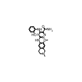 COc1cc2c(cc1Nc1nnc(C(N)=O)c(Nc3ccccc3O)n1)CCN(C)C2